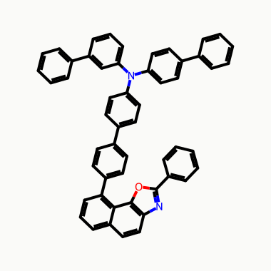 c1ccc(-c2ccc(N(c3ccc(-c4ccc(-c5cccc6ccc7nc(-c8ccccc8)oc7c56)cc4)cc3)c3cccc(-c4ccccc4)c3)cc2)cc1